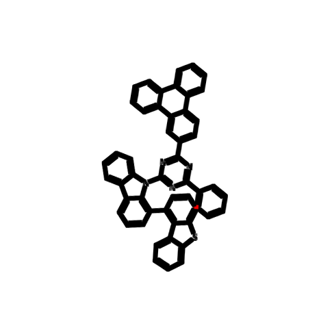 c1ccc(-c2nc(-c3ccc4c5ccccc5c5ccccc5c4c3)nc(-n3c4ccccc4c4cccc(-c5cccc6sc7ccccc7c56)c43)n2)cc1